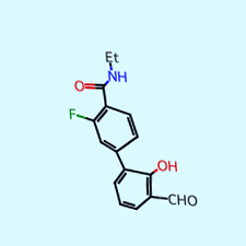 CCNC(=O)c1ccc(-c2cccc(C=O)c2O)cc1F